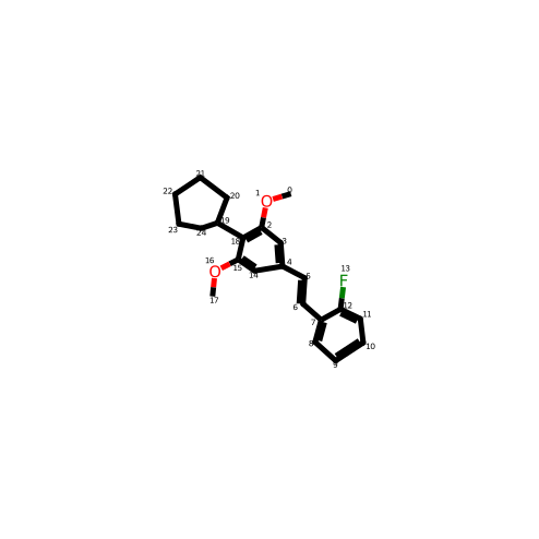 COc1cc(/C=C/c2ccccc2F)cc(OC)c1C1CCCCC1